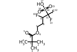 CC(C)(C)C(=O)OCCC(F)C(F)(F)S(=O)(=O)O